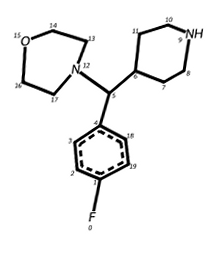 Fc1ccc(C(C2CCNCC2)N2CCOCC2)cc1